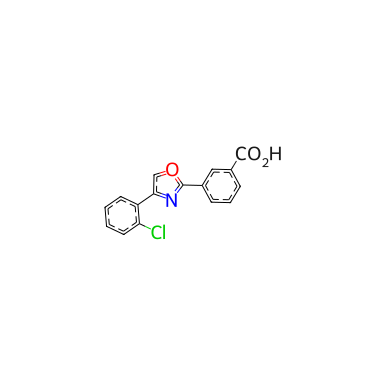 O=C(O)c1cccc(-c2nc(-c3ccccc3Cl)co2)c1